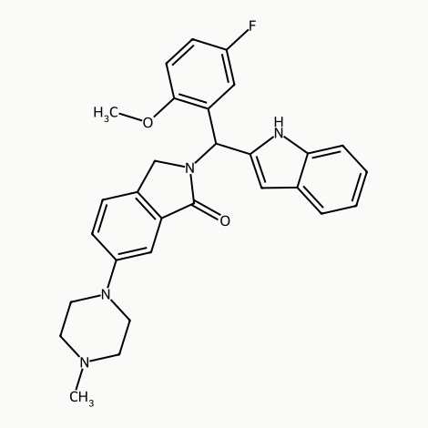 COc1ccc(F)cc1C(c1cc2ccccc2[nH]1)N1Cc2ccc(N3CCN(C)CC3)cc2C1=O